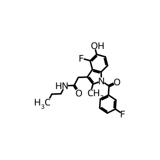 CCCNC(=O)Cc1c(C)n(C(=O)c2cccc(F)c2)c2ccc(O)c(F)c12